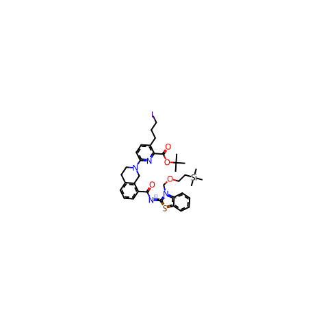 CC(C)(C)OC(=O)c1nc(N2CCc3cccc(C(=O)/N=c4/sc5ccccc5n4COCC[Si](C)(C)C)c3C2)ccc1CCCI